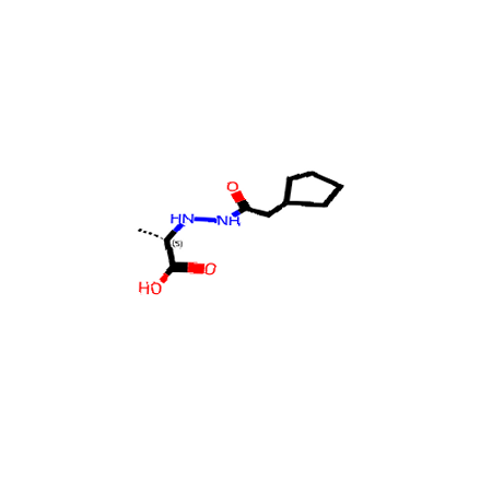 C[C@H](NNC(=O)CC1CCCC1)C(=O)O